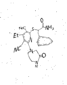 CCc1c(C#N)c(SC(C(N)=O)c2ccccc2)nc(N2CCNC(=O)C2)c1C#N